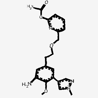 COc1c(N)cc(CCOCc2cccc(OC(N)=O)n2)cc1-c1cnn(C)c1